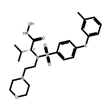 Cc1cccc(Sc2ccc(S(=O)(=O)N(CCN3CCOCC3)[C@@H](C(=O)NO)C(C)C)cc2)c1